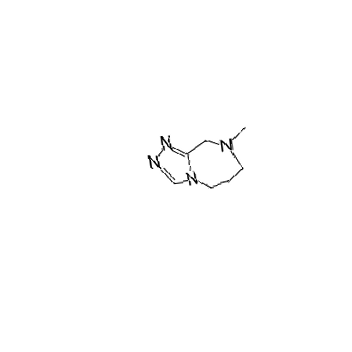 CN1CCCn2cnnc2C1